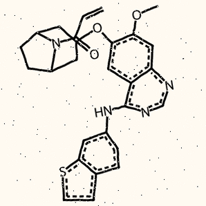 C=CC(=O)N1C2CCC1CC(Oc1cc3c(Nc4ccc5ccsc5c4)ncnc3cc1OC)C2